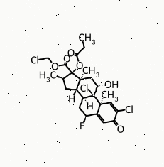 CCC(=O)O[C@]1(C(=O)OCCl)[C@H](C)C[C@H]2[C@@H]3C[C@H](F)C4=CC(=O)C(Cl)=C[C@]4(C)[C@@]3(Cl)[C@@H](O)C[C@@]21C